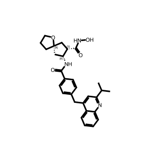 CC(C)c1cc(Cc2ccc(C(=O)N[C@@H]3C[C@@]4(CCCO4)C[C@@H]3C(=O)NO)cc2)c2ccccc2n1